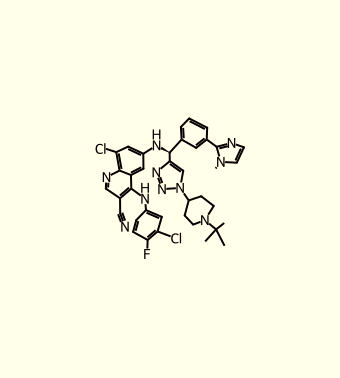 Cn1ccnc1-c1cccc([C@H](Nc2cc(Cl)c3ncc(C#N)c(Nc4ccc(F)c(Cl)c4)c3c2)c2cn(C3CCN(C(C)(C)C)CC3)nn2)c1